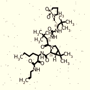 C=CCNC(=O)C(=O)C(CCCC)NC(=O)[C@@H]1[C@@H]2C(CN1C(=O)[C@@H](NC(=O)N[C@H](CN1CCCS1(=O)=O)C(C)(C)C)C(C)(C)C)C2(C)C